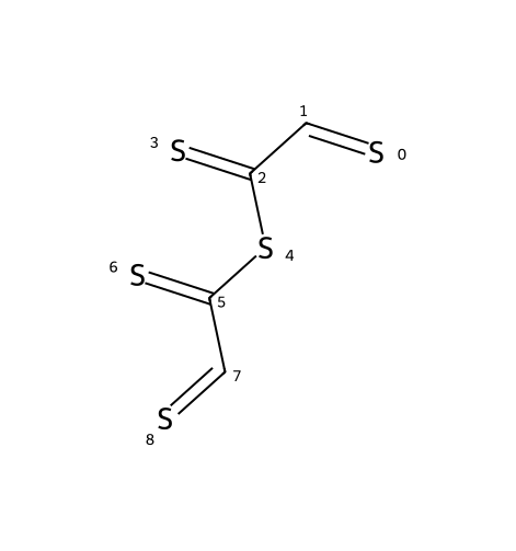 S=CC(=S)SC(=S)C=S